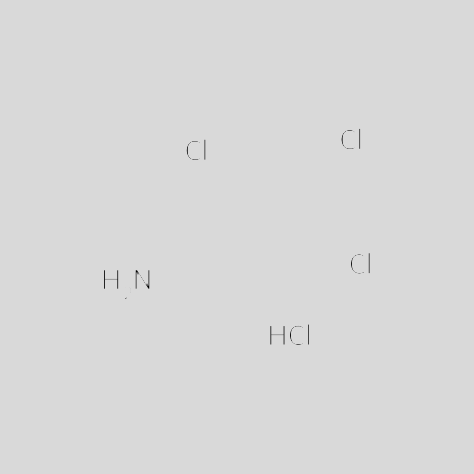 Cl.NCC(Cl)C(Cl)Cl